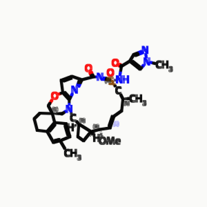 CO[C@H]1/C=C/C[C@H](C)C[S@@](=O)(NC(=O)c2cnn(C)c2)=NC(=O)c2ccc3c(n2)N(C[C@@H]2CC[C@H]21)C[C@@]1(CCCc2cc(C)ccc21)CO3